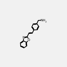 NCc1ccc(C=Cc2nc3ccccc3o2)cc1